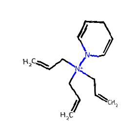 C=CC[N+](CC=C)(CC=C)N1C=CCC=C1